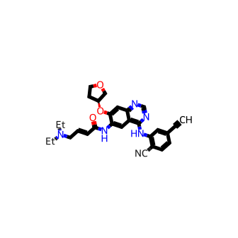 C#Cc1ccc(C#N)c(Nc2ncnc3cc(O[C@H]4CCOC4)c(NC(=O)C=CCN(CC)CC)cc23)c1